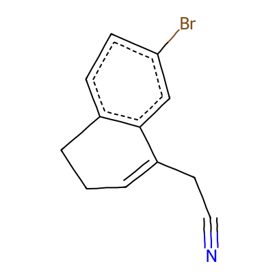 N#CCC1=CCCc2ccc(Br)cc21